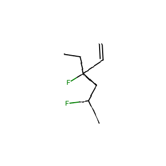 C=CC(F)(CC)CC(C)F